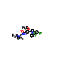 COc1cc(C(=O)NCCN(C)C)ccc1-c1ccc(-c2ccc(Br)cc2)n1-c1ccccc1C(F)(F)F